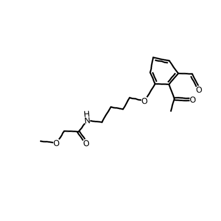 COCC(=O)NCCCCOc1cccc(C=O)c1C(C)=O